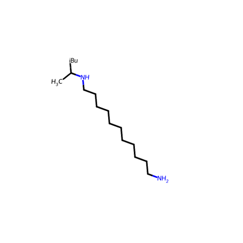 CCC(C)C(C)NCCCCCCCCCCCN